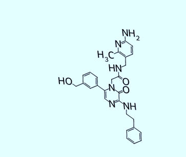 Cc1nc(N)ccc1CNC(=O)Cn1c(-c2cccc(CO)c2)cnc(NCCc2ccccc2)c1=O